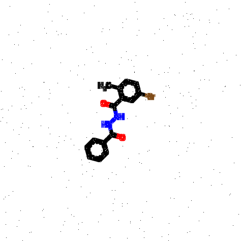 Cc1ccc(Br)cc1C(=O)NNC(=O)c1ccccc1